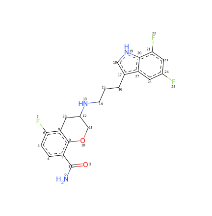 NC(=O)c1ccc(F)c2c1OCC(NCCCc1c[nH]c3c(F)cc(F)cc13)C2